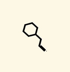 [CH]=CCC1CCCCC1